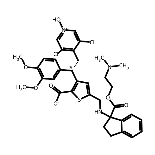 COc1ccc([C@H](Cc2c(Cl)c[n+](O)cc2Cl)c2cc(CNC3(C(=O)OCCN(C)C)CCc4ccccc43)sc2C(=O)[O-])cc1OC